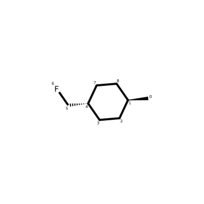 C[C@H]1CC[C@H](CF)CC1